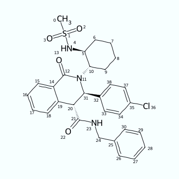 CS(=O)(=O)N[C@H]1CCCC[C@@H]1N1C(=O)c2ccccc2[C@@H](C(=O)NCc2ccccc2)[C@@H]1c1ccc(Cl)cc1